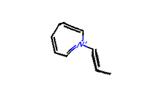 C/C=[C]/[n+]1ccccc1